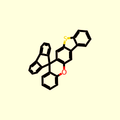 c1ccc2c(c1)Oc1cc3c(cc1C21c2ccccc2-c2ccccc21)sc1ccccc13